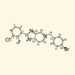 Fc1c(Cl)cccc1-c1nc2ccn(Cc3ccc(Br)cc3)cc-2n1